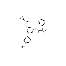 O=C(Nc1cc(-c2ccc(OC(F)(F)F)cc2)cc(NC(=O)C2(c3ccccc3)CC2)n1)C1CC1